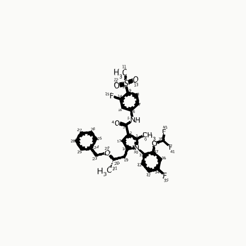 Cc1c(C(=O)Nc2ccc(S(C)(=O)=O)c(F)c2)cc(C[C@H](C)OCc2ccccc2)n1-c1ccc(F)cc1OC(F)F